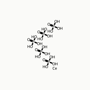 O=P(O)(O)O.O=P(O)(O)O.O=P(O)(O)O.O=P(O)(O)O.O=P(O)(O)O.[Ce]